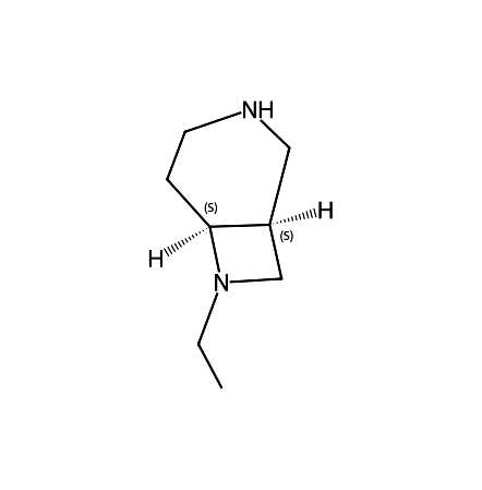 CCN1C[C@@H]2CNCC[C@@H]21